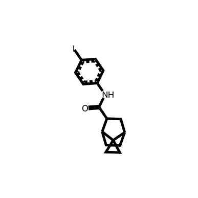 O=C(Nc1ccc(I)cc1)C1CC2CCC1C21CC1